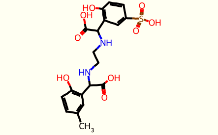 Cc1ccc(O)c(C(NCCNC(C(=O)O)c2cc(S(=O)(=O)O)ccc2O)C(=O)O)c1